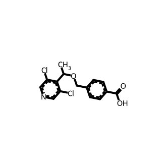 CC(OCc1ccc(C(=O)O)cc1)c1c(Cl)cncc1Cl